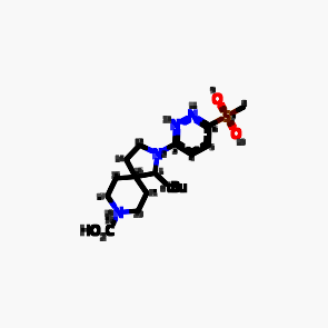 CC(C)(C)C1N(c2ccc(S(C)(=O)=O)nn2)CCC12CCN(C(=O)O)CC2